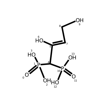 O=P(O)(O)C(C(O)=CCO)P(=O)(O)O